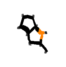 CC1=[C]C2=CC=CC2=P1